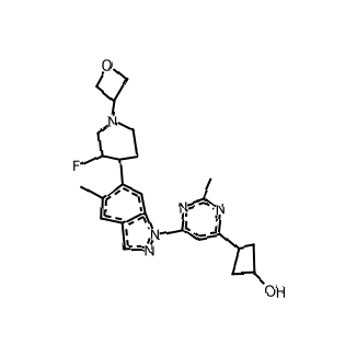 Cc1nc(C2CC(O)C2)cc(-n2ncc3cc(C)c(C4CCN(C5COC5)CC4F)cc32)n1